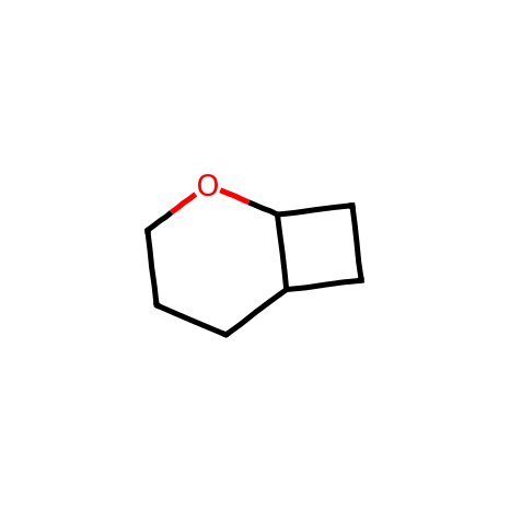 C1COC2CCC2C1